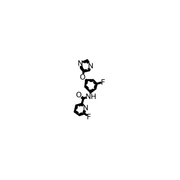 O=C(Nc1cc(F)cc(Oc2cncnc2)c1)c1cccc(F)n1